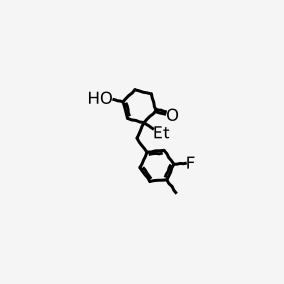 CCC1(Cc2ccc(C)c(F)c2)C=C(O)CCC1=O